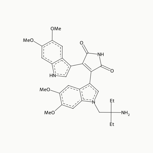 CCC(N)(CC)Cn1cc(C2=C(c3c[nH]c4cc(OC)c(OC)cc34)C(=O)NC2=O)c2cc(OC)c(OC)cc21